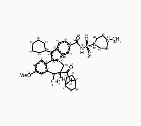 COc1ccc2c(c1)C(C)C(C)(C(=O)N1C3CCC1CC3)Cn1c-2c(C2CCCCC2)c2ccc(C(=O)NS(=O)(=O)N3CCN(C)CC3)cc21